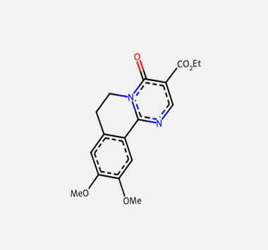 CCOC(=O)c1cnc2n(c1=O)CCc1cc(OC)c(OC)cc1-2